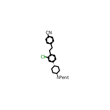 CCCCC[C@H]1CC[C@H](c2ccc(CCc3ccc(C#N)cc3)c(Cl)c2)CC1